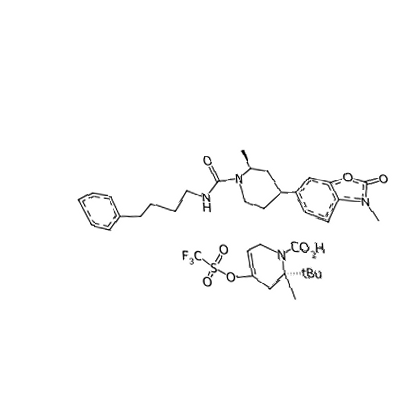 CC(C)(C)[C@]1(C)CC(OS(=O)(=O)C(F)(F)F)=CCN1C(=O)O.C[C@H]1CC(c2ccc3c(c2)oc(=O)n3C)CCN1C(=O)NCCCCc1ccccc1